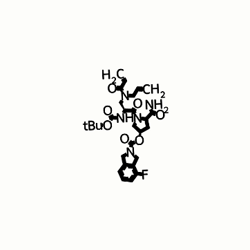 C=CCN(C[C@H](NC(=O)OC(C)(C)C)C(=O)N1C[C@H](OC(=O)N2Cc3cccc(F)c3C2)CC1C(N)=O)C(=O)C=C